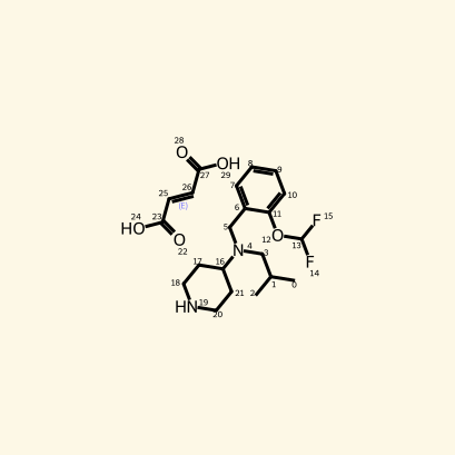 CC(C)CN(Cc1ccccc1OC(F)F)C1CCNCC1.O=C(O)/C=C/C(=O)O